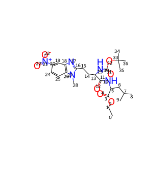 CCOC(=O)C(CC(C)C)NC(=O)C(CCc1nc2cc([N+](=O)[O-])ccc2n1C)NC(=O)OC(C)(C)C